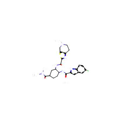 CN1CCc2nc(C(=O)NC3CC(C(=O)N(C)C)CCC3NC(=O)c3cc4cc(Cl)ccc4[nH]3)sc2C1.Cl